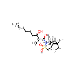 C=CCCCCC(O)C(C)C(=O)N1[C@H]2C[C@@H]3CC[C@@]2(CS1(=O)=O)C3(C)C